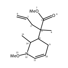 C=CCC(C)(C(=O)OC)C1CC=CN(OC)C1C